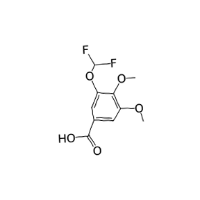 COc1cc(C(=O)O)cc(OC(F)F)c1OC